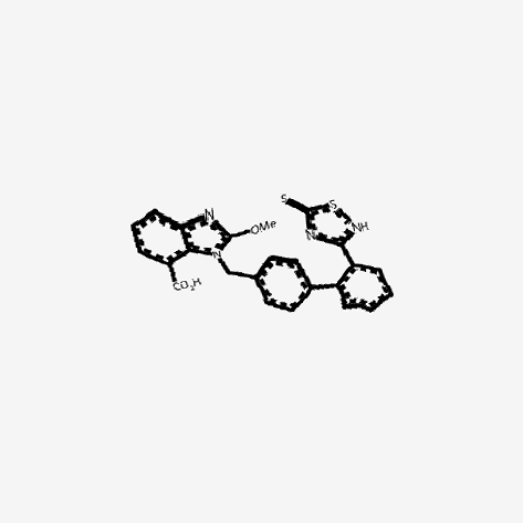 COc1nc2cccc(C(=O)O)c2n1Cc1ccc(-c2ccccc2-c2nc(=S)s[nH]2)cc1